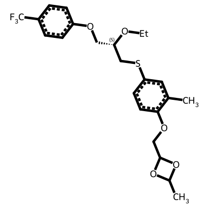 CCO[C@@H](COc1ccc(C(F)(F)F)cc1)CSc1ccc(OCC2OC(C)O2)c(C)c1